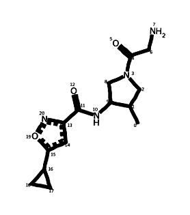 CC1CN(C(=O)CN)CC1NC(=O)c1cc(C2CC2)on1